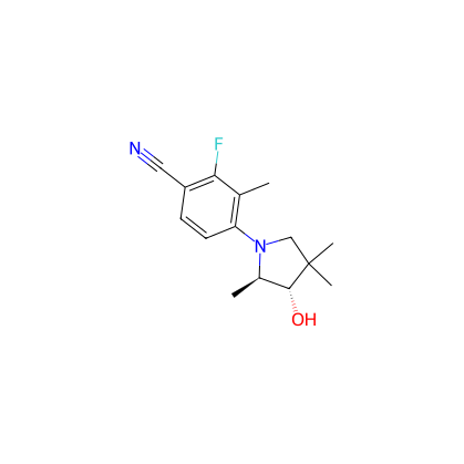 Cc1c(N2CC(C)(C)[C@H](O)[C@H]2C)ccc(C#N)c1F